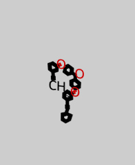 CC#Cc1cccc(Oc2ccc(C(=O)c3ccc(Oc4cccc(C#Cc5ccccc5)c4)cc3)cc2)c1